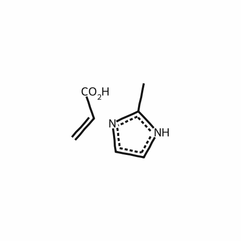 C=CC(=O)O.Cc1ncc[nH]1